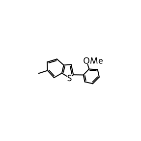 COc1ccccc1-c1cc2ccc(C)cc2s1